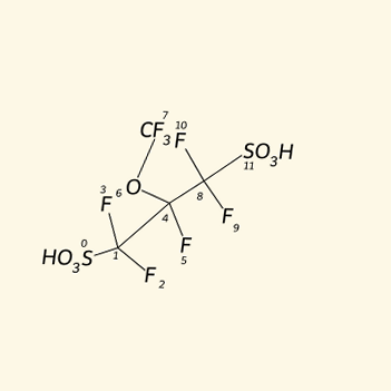 O=S(=O)(O)C(F)(F)C(F)(OC(F)(F)F)C(F)(F)S(=O)(=O)O